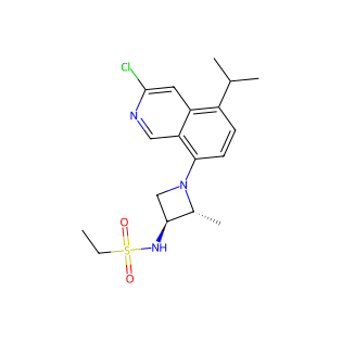 CCS(=O)(=O)N[C@H]1CN(c2ccc(C(C)C)c3cc(Cl)ncc23)[C@@H]1C